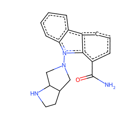 NC(=O)c1cccc2c3ccccc3n(N3CC4CCNC4C3)c12